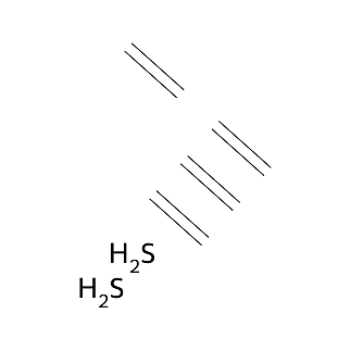 C=C.C=C.C=C.C=C.S.S